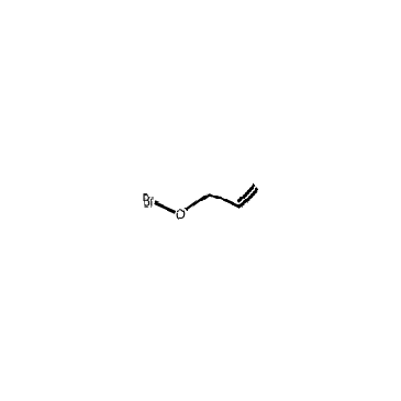 C=CCOBr